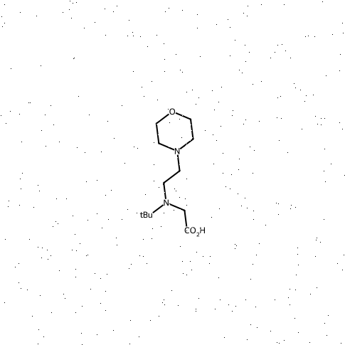 CC(C)(C)N(CCN1CCOCC1)CC(=O)O